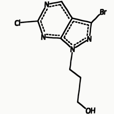 OCCCn1nc(Br)c2cnc(Cl)nc21